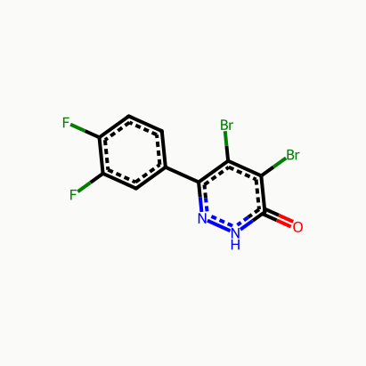 O=c1[nH]nc(-c2ccc(F)c(F)c2)c(Br)c1Br